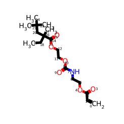 C=CC(=O)OCCNC(=O)OCCOC(=O)C(C)(CC)CC(C)(C)C